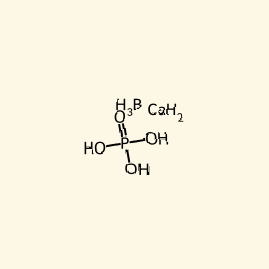 B.O=P(O)(O)O.[CaH2]